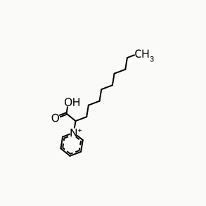 CCCCCCCCCC(C(=O)O)[n+]1ccccc1